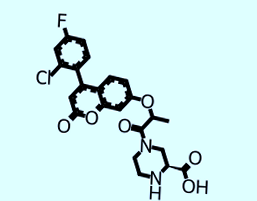 CC(Oc1ccc2c(-c3ccc(F)cc3Cl)cc(=O)oc2c1)C(=O)N1CCN[C@H](C(=O)O)C1